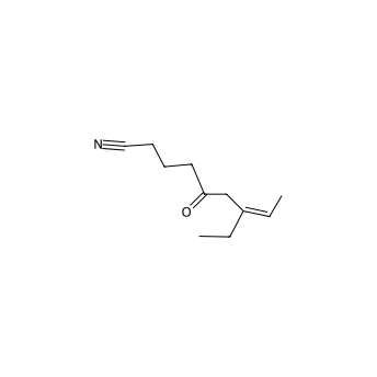 CC=C(CC)CC(=O)CCCC#N